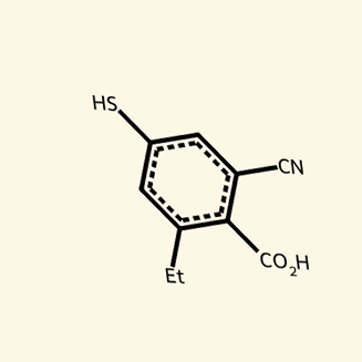 CCc1cc(S)cc(C#N)c1C(=O)O